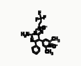 Cc1cc(C2=C(c3ccccc3)N=C(N)N3C[N+]([O-])(CCC(F)(F)F)N=C23)cc(C)[n+]1[O-]